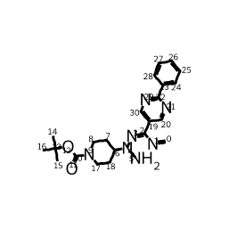 C=N/C(=N\N(N)C1CCN(C(=O)OC(C)(C)C)CC1)c1cnc(-c2ccccc2)nc1